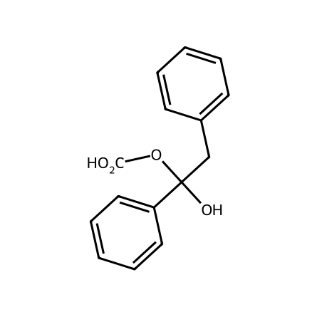 O=C(O)OC(O)(Cc1ccccc1)c1ccccc1